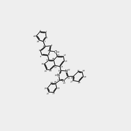 c1ccc(-c2ccc3c(c2)Oc2ccc(-c4nc(-c5ccccc5)nc(-c5ccccc5)n4)c4cccc-3c24)cc1